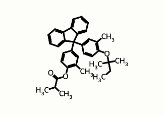 CCC(C)(C)Oc1ccc(C2(c3ccc(OC(=O)C(C)C)c(C)c3)c3ccccc3-c3ccccc32)cc1C